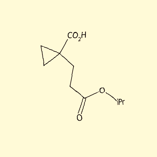 CC(C)OC(=O)CCC1(C(=O)O)CC1